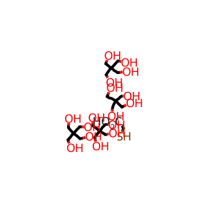 O=C(O)CS.OCC(CO)(CO)CO.OCC(CO)(CO)CO.OCC(CO)(CO)CO.OCC(CO)(CO)CO